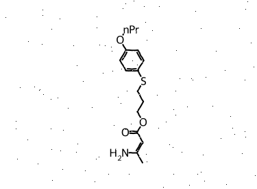 CCCOc1ccc(SCCCOC(=O)/C=C(/C)N)cc1